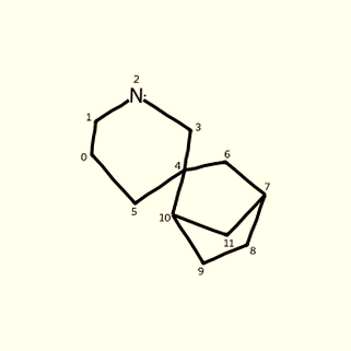 C1C[N]CC2(C1)CC1CCC2C1